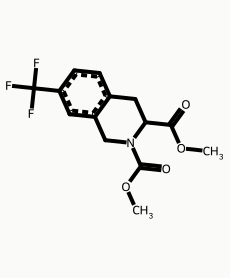 COC(=O)C1Cc2ccc(C(F)(F)F)cc2CN1C(=O)OC